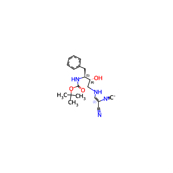 [C-]#[N+]/C(C#N)=C\NC[C@@H](O)[C@H](Cc1ccccc1)NC(=O)OC(C)(C)C